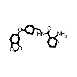 Nc1ncccc1C(=O)NCc1ccc(Oc2ccc3c(c2)OCO3)cc1